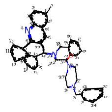 Cc1ccc2nc(-c3ccccc3)c(C(c3ccccc3)N(CC(=O)N3CCN(Cc4ccccc4)CC3)Cc3ccccc3)cc2c1